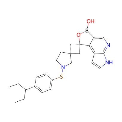 CCC(CC)c1ccc(SN2CCC3(C2)CC2(C3)OB(O)c3cnc4[nH]ccc4c32)cc1